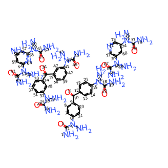 N.NC(=O)N(N)c1ccc(C(=O)c2ccc(N(N)C(N)=O)cc2)cc1.NC(=O)N(N)c1cccc(C(=O)c2cccc(N(N)C(N)=O)c2)c1.NC(=O)N(N)c1cccc(N(N)C(N)=O)n1.NC(=O)N(N)c1cncc(N(N)C(N)=O)c1